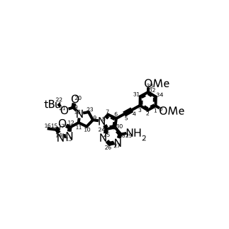 COc1cc(C#Cc2cn(C3CC(c4nnc(C)o4)N(C(=O)OC(C)(C)C)C3)c3ncnc(N)c23)cc(OC)c1